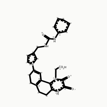 O=C(O)Cn1c2c([nH]c(=O)c1=O)CCC1=C2C=C(n2ccc(CNC(=O)Nc3ccccc3)c2)CC1